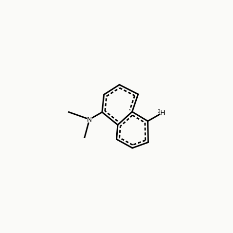 [2H]c1cccc2c(N(C)C)cccc12